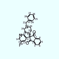 O=C1c2ccccc2C(=O)C1(c1cncc(F)c1)N1CCN(Cc2ccccc2)CC1